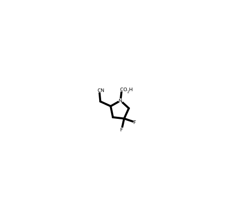 N#CCC1CC(F)(F)CN1C(=O)O